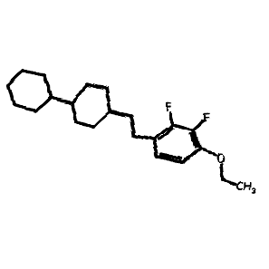 CCOc1ccc(CCC2CCC(C3CCCCC3)CC2)c(F)c1F